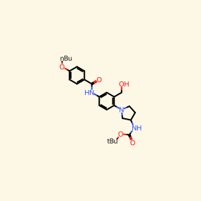 CCCCOc1ccc(C(=O)Nc2ccc(N3CCC(NC(=O)OC(C)(C)C)C3)c(CO)c2)cc1